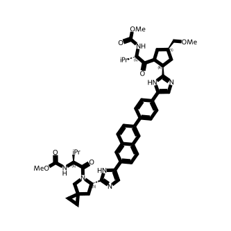 COC[C@@H]1CC(C(=O)[C@@H](NC(=O)OC)C(C)C)[C@H](c2ncc(-c3ccc(-c4ccc5cc(-c6cnc([C@@H]7CC8(CC8)CN7C(=O)[C@@H](NC(=O)OC)C(C)C)[nH]6)ccc5c4)cc3)[nH]2)C1